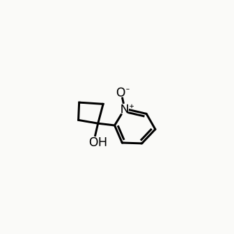 [O-][n+]1ccccc1C1(O)CCC1